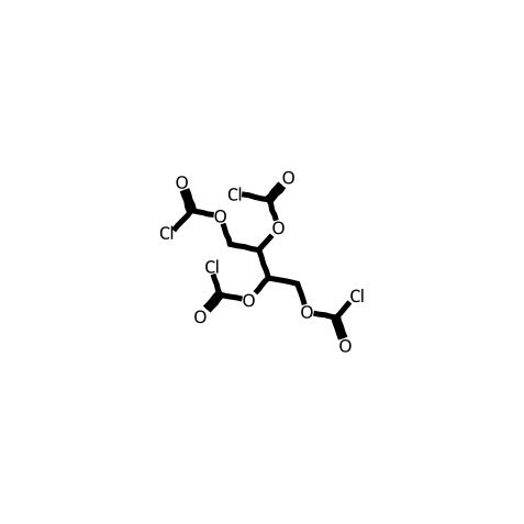 O=C(Cl)OCC(OC(=O)Cl)C(COC(=O)Cl)OC(=O)Cl